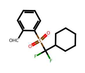 O=Cc1ccccc1S(=O)(=O)C(F)(F)C1CCCCC1